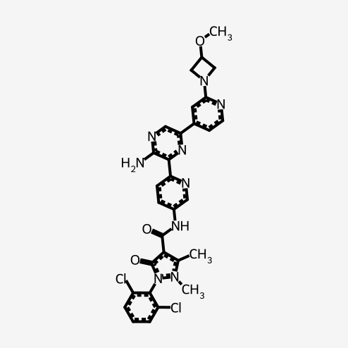 COC1CN(c2cc(-c3cnc(N)c(-c4ccc(NC(=O)c5c(C)n(C)n(-c6c(Cl)cccc6Cl)c5=O)cn4)n3)ccn2)C1